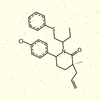 C=CC[C@@]1(C)CCC(c2ccc(Cl)cc2)N(C(CC)CSc2ccccc2)C1=O